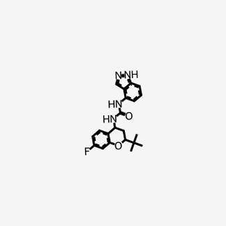 CC(C)(C)C1CC(NC(=O)Nc2cccc3[nH]ncc23)c2ccc(F)cc2O1